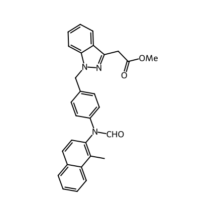 COC(=O)Cc1nn(Cc2ccc(N(C=O)c3ccc4ccccc4c3C)cc2)c2ccccc12